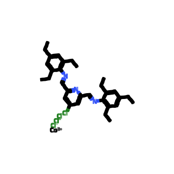 CCc1cc(CC)c(N=Cc2cc(Cl)cc(C=Nc3c(CC)cc(CC)cc3CC)n2)c(CC)c1.[Cl-].[Cl-].[Cl-].[Co+3]